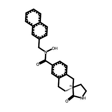 O=C(c1ccc2c(c1)CC[C@@]1(CCNC1=O)C2)N(O)Cc1ccc2ccccc2c1